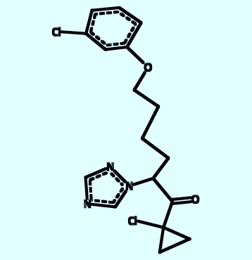 O=C(C(CCCCOc1cccc(Cl)c1)n1cncn1)C1(Cl)CC1